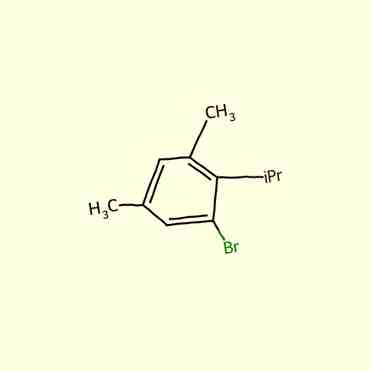 Cc1cc(C)c(C(C)C)c(Br)c1